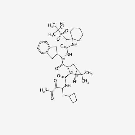 CC1(C)C2CN(C(=O)[C@@H](NC(=O)NC3(CS(=O)(=O)C(C)(C)C)CCCCC3)C3Cc4ccccc4C3)[C@H](C(=O)NC(CC3CCC3)C(=O)C(N)=O)[C@H]21